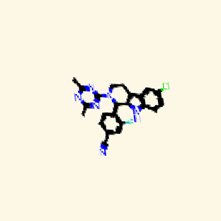 Cc1nc(C)nc(N2CCc3c([nH]c4ccc(Cl)cc34)C2c2ccc(C#N)cc2F)n1